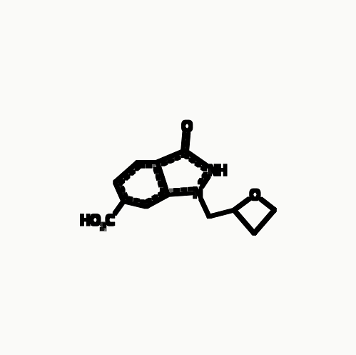 O=C(O)c1ccc2c(=O)[nH]n(CC3CCO3)c2c1